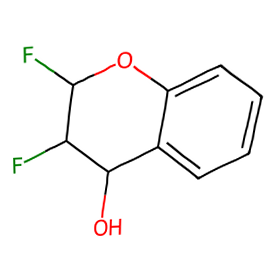 OC1c2ccccc2OC(F)C1F